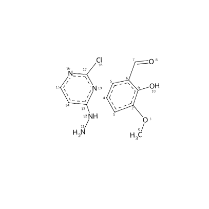 COc1cccc(C=O)c1O.NNc1ccnc(Cl)n1